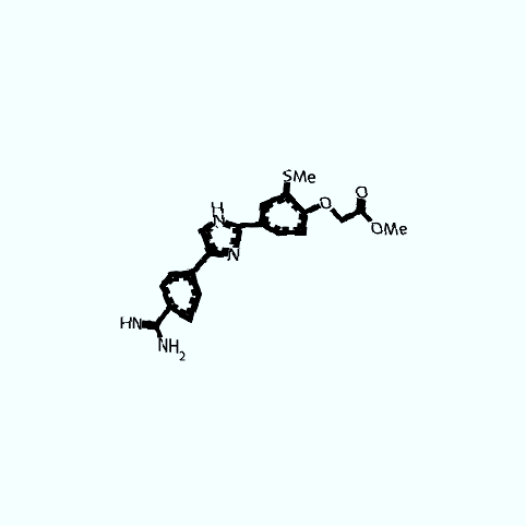 COC(=O)COc1ccc(-c2nc(-c3ccc(C(=N)N)cc3)c[nH]2)cc1SC